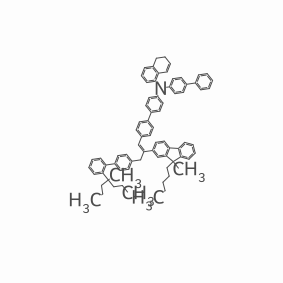 CCCCCC1(C)c2ccccc2-c2ccc(/C(=C\c3ccc(-c4ccc(N(c5ccc(-c6ccccc6)cc5)c5cccc6c5C=CCC6)cc4)cc3)Cc3ccc(-c4ccccc4C(C)(CCC)CCC)cc3)cc21